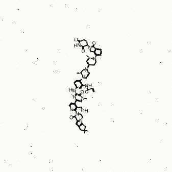 C=CC(=O)Nc1cc(Nc2nc(-c3ccnc(N4CCn5c(cc6c5CC(C)(C)C6)C4=O)c3CO)cn(C)c2=O)ccc1N1CCN(C2CCN(c3cccc4c3CN(C3CCC(=O)NC3=O)C4=O)[C@H](C)C2)C[C@@H]1C